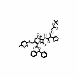 Cc1ccc(SCC2=C(C(=O)OC(c3ccccc3)c3ccccc3)N3C(=O)C(NC(=O)C(=NOCC(=O)OC(C)(C)C)c4cscn4)[C@@H]3[S+]([O-])C2)nn1